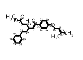 COC(=O)CCC(C=C(C)c1ccc(OCC=C(C)C)cc1)CCc1ccccc1